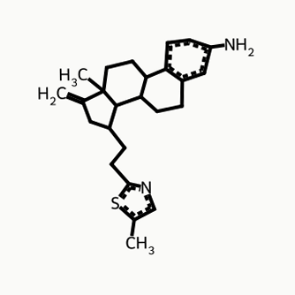 C=C1CC(CCc2ncc(C)s2)C2C3CCc4cc(N)ccc4C3CCC12C